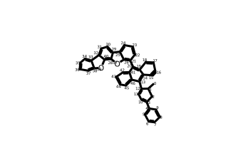 CC1CC(c2ccccc2)=CC=C1c1c2c#cccc2c(-c2cccc3c2oc2c3ccc3c4ccccc4oc32)c2ccccc12